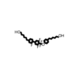 OCCCCCCc1ccc(OC(F)(F)c2c(F)cc(-c3ccc(CCCCCCO)cc3F)cc2F)cc1